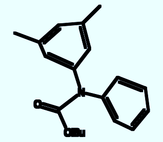 Cc1cc(C)cc(N(C(=O)OCC(C)C)c2ccccc2)c1